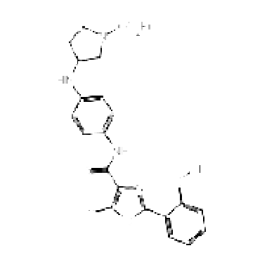 CCOC(=O)N1CC[C@H](Nc2ccc(NC(=O)c3nc(-c4ccccc4OC(F)(F)F)oc3C(F)(F)F)cc2)C1